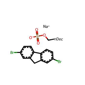 Brc1ccc2c(c1)Cc1cc(Br)ccc1-2.CCCCCCCCCCCOS(=O)(=O)[O-].[Na+]